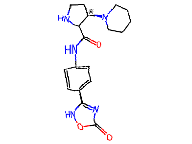 O=C(Nc1ccc(-c2nc(=O)o[nH]2)cc1)C1NCC[C@H]1N1CCCCC1